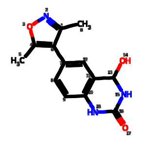 Cc1noc(C)c1-c1ccc2c(c1)C(O)NC(=O)N2